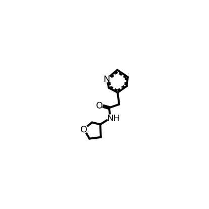 O=C(Cc1cccnc1)NC1CCOC1